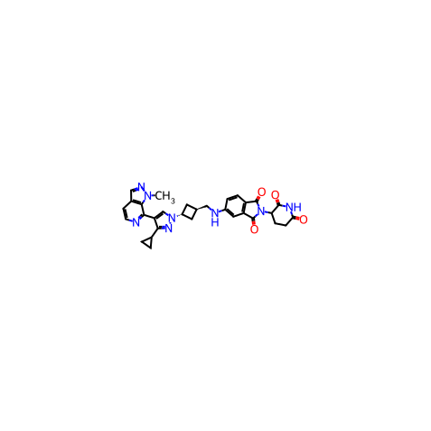 Cn1ncc2ccnc(-c3cn([C@H]4C[C@H](CNc5ccc6c(c5)C(=O)N(C5CCC(=O)NC5=O)C6=O)C4)nc3C3CC3)c21